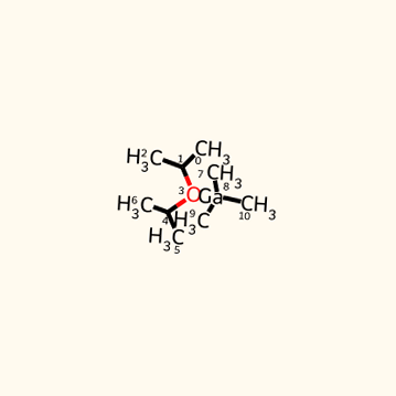 CC(C)OC(C)C.[CH3][Ga]([CH3])[CH3]